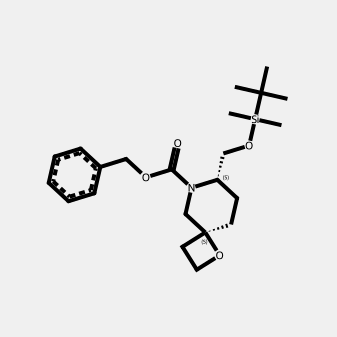 CC(C)(C)[Si](C)(C)OC[C@@H]1CC[C@]2(CCO2)CN1C(=O)OCc1ccccc1